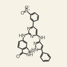 O=c1[nH][nH]c2cc(Nc3nc(Nc4cc(-c5ccccc5)[nH]n4)cc(-c4cccc([N+](=O)[O-])c4)n3)ccc12